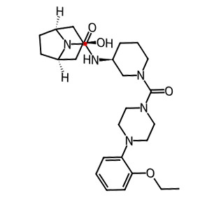 CCOc1ccccc1N1CCN(C(=O)N2CCC[C@H](NC(=O)N3[C@@H]4CC[C@H]3C[C@@H](O)C4)C2)CC1